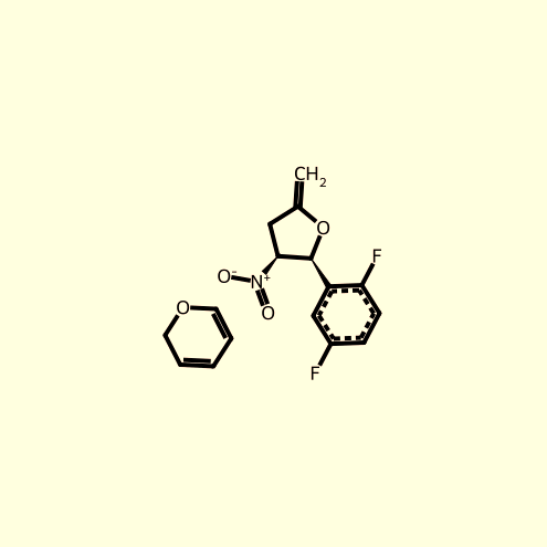 C1=CCOC=C1.C=C1C[C@H]([N+](=O)[O-])[C@H](c2cc(F)ccc2F)O1